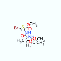 COC(=O)c1sc(Br)cc1NC(=O)C(NC(=O)OC(C)(C)C)C(C)C